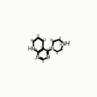 c1nc2c(c(N3CCNCC3)n1)CCCN2